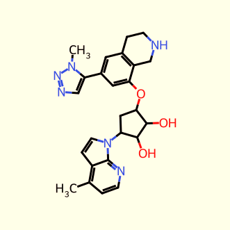 Cc1ccnc2c1ccn2C1CC(Oc2cc(-c3cnnn3C)cc3c2CNCC3)C(O)C1O